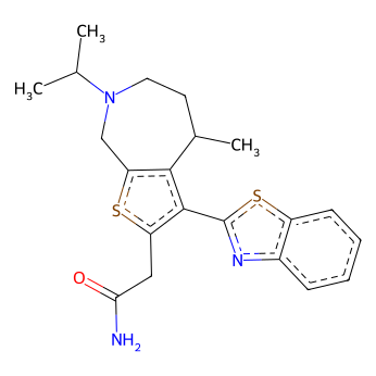 CC1CCN(C(C)C)Cc2sc(CC(N)=O)c(-c3nc4ccccc4s3)c21